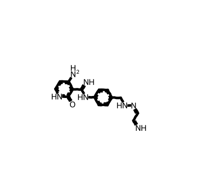 N=C/C=N\NCc1ccc(NC(=N)c2c(N)cc[nH]c2=O)cc1